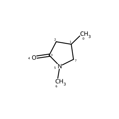 CC1CC(=O)N(C)C1